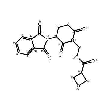 O=C(OCN1C(=O)CCC(N2C(=O)c3ccccc3C2=O)C1=O)C1COC1